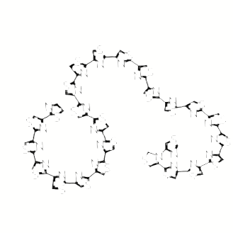 [c]1csc(-c2csc(-c3csc(-c4csc(-c5csc(-c6csc(-c7csc(-c8csc(-c9csc(-c%10csc(-c%11csc(-c%12csc(-c%13csc(-c%14csc(-c%15csc(-c%16csc(-c%17csc(-c%18csc(-c%19csc(-c%20csc(-c%21csc(-c%22csc(-c%23csc(C%24=CSCN%24c%24cscn%24)n%23)n%22)n%21)n%20)n%19)n%18)n%17)n%16)n%15)n%14)n%13)n%12)n%11)n%10)n9)n8)n7)n6)n5)n4)n3)n2)n1